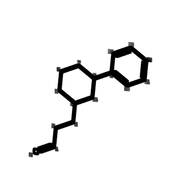 O=CCCC1CCCC(c2ccccc2)C1